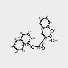 OC1Oc2ccccc2C=C1C1OC1Oc1nccc2ccccc12